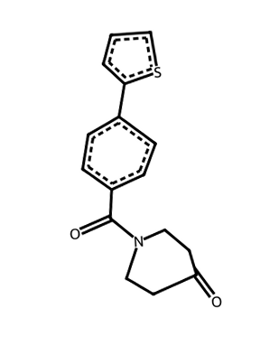 O=C1CCN(C(=O)c2ccc(-c3cccs3)cc2)CC1